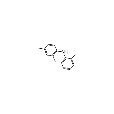 Cc1ccc(Nc2ccccc2C)c(C)c1